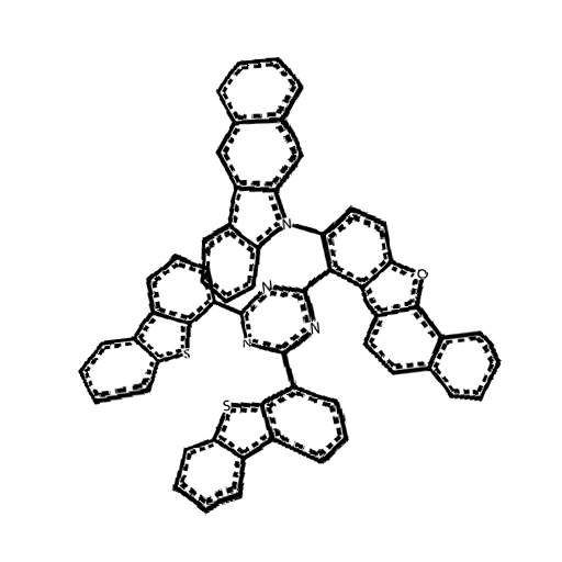 c1ccc2cc3c(cc2c1)c1ccccc1n3-c1ccc2oc3c4ccccc4ccc3c2c1-c1nc(-c2cccc3c2sc2ccccc23)nc(-c2cccc3c2sc2ccccc23)n1